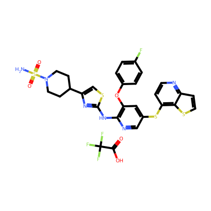 NS(=O)(=O)N1CCC(c2csc(Nc3ncc(Sc4ccnc5ccsc45)cc3Oc3ccc(F)cc3)n2)CC1.O=C(O)C(F)(F)F